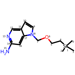 C[Si](C)(C)CCOCn1ccc2cnc(N)cc21